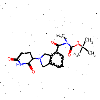 CN(C(=O)OC(C)(C)C)C(=O)c1cccc2c1CN(C1CCC(=O)NC1=O)C2